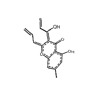 C=C/C=c1/oc2cc(C)cc(O)c2c(=O)/c1=C(\O)C=C